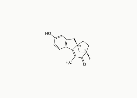 O=C1C(C(F)(F)F)=C2c3ccc(O)cc3C[C@]23CC[C@H]1C3